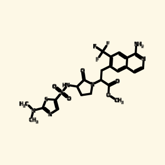 COC(=O)C(Cc1cc2ccnc(N)c2cc1C(F)(F)F)N1CCC(NS(=O)(=O)c2cnc(N(C)C)s2)C1=O